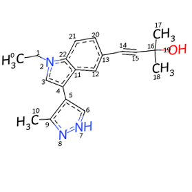 CCn1cc(-c2c[nH]nc2C)c2cc(C#CC(C)(C)O)ccc21